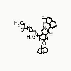 C=CC(=O)N1CC(CN(C)c2nc(OCC34CCCN3CCC4)nc3c(F)c(-c4cccc5ccc(F)c(F)c45)ncc23)C1